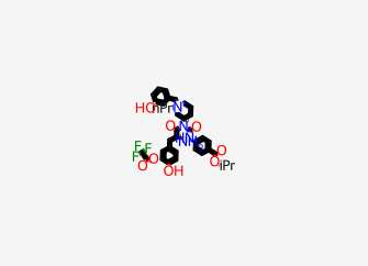 CCC[N+]1(Cc2cccc(O)c2)CCC[C@H](N(C(=O)Nc2ccc(C(=O)OC(C)C)cc2)C(=O)[C@@H](N)Cc2ccc(O)cc2)C1.O=C([O-])C(F)(F)F